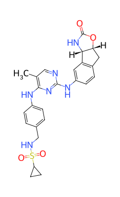 Cc1cnc(Nc2ccc3c(c2)[C@@H]2NC(=O)O[C@@H]2C3)nc1Nc1ccc(CNS(=O)(=O)C2CC2)cc1